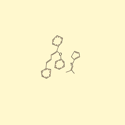 C(=Cc1ccccc1)C=C(Oc1ccccc1)c1ccccc1.C[C](C)=[Ti][C]1=CC=CC1